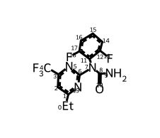 CCc1cc(C(F)(F)F)nc(N(C(N)=O)c2c(F)cccc2F)n1